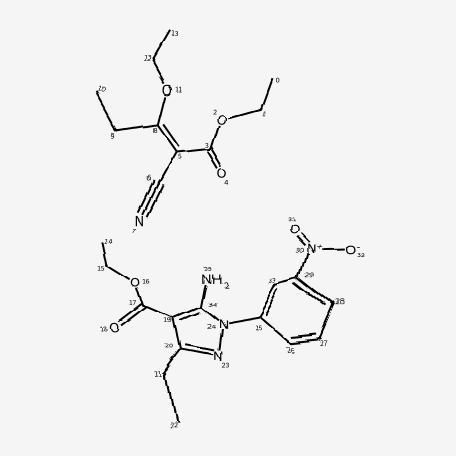 CCOC(=O)C(C#N)=C(CC)OCC.CCOC(=O)c1c(CC)nn(-c2cccc([N+](=O)[O-])c2)c1N